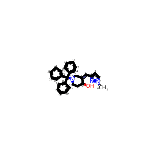 Cn1ccc(/C=C2/CN(C(c3ccccc3)(c3ccccc3)c3ccccc3)CCC2O)n1